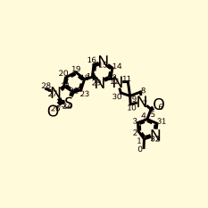 Cc1ccc(C(=O)N2CC3(C2)CN(c2cncc(-c4ccc5c(c4)sc(=O)n5C)n2)C3)cn1